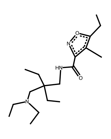 CCc1onc(C(=O)NCC(CC)(CC)CN(CC)CC)c1C